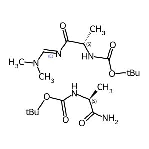 C[C@H](NC(=O)OC(C)(C)C)C(=O)/N=C/N(C)C.C[C@H](NC(=O)OC(C)(C)C)C(N)=O